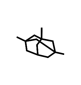 CC12CC3CC(C)(C1)CC(C)(C3)C2